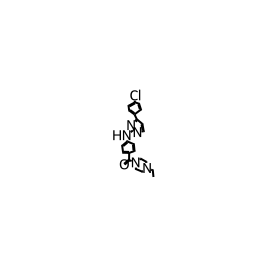 CCN1CCN(C(=O)c2ccc(Nc3nccc(-c4ccc(Cl)cc4)n3)cc2)CC1